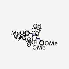 COc1ccc(/C=C2\CC(NS(=O)(=O)CCCN)C/C(=C\c3ccc(OC)c(OC)c3)C2=O)cc1OC.O=C(O)C(F)(F)F